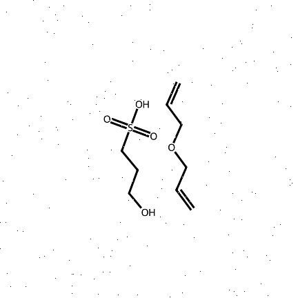 C=CCOCC=C.O=S(=O)(O)CCCO